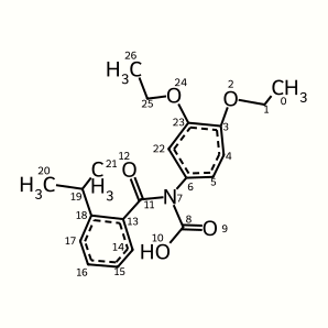 CCOc1ccc(N(C(=O)O)C(=O)c2ccccc2C(C)C)cc1OCC